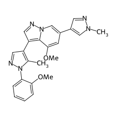 COc1ccccc1-n1ncc(-c2cnn3cc(-c4cnn(C)c4)cc(OC)c23)c1C